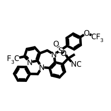 [C-]#[N+]C(C)(C)c1cccc2c1N(S(=O)(=O)c1ccc(OC(F)(F)F)cc1)Cc1ccc(C(F)(F)F)nc1N2Cc1ccccc1